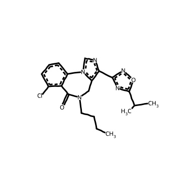 CCCCN1Cc2c(-c3noc(C(C)C)n3)ncn2-c2cccc(Cl)c2C1=O